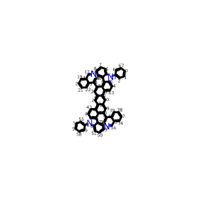 c1ccc(-n2c3ccccc3c3c4c(-c5cncc6ccccc56)cc5cc6c(cc(-c7cncc8ccccc78)c7c6ccc6c7c7ccccc7n6-c6ccccc6)cc5c4ccc32)cc1